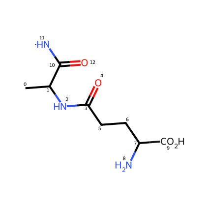 CC(NC(=O)CCC(N)C(=O)O)C([NH])=O